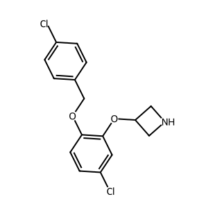 Clc1ccc(COc2ccc(Cl)cc2OC2CNC2)cc1